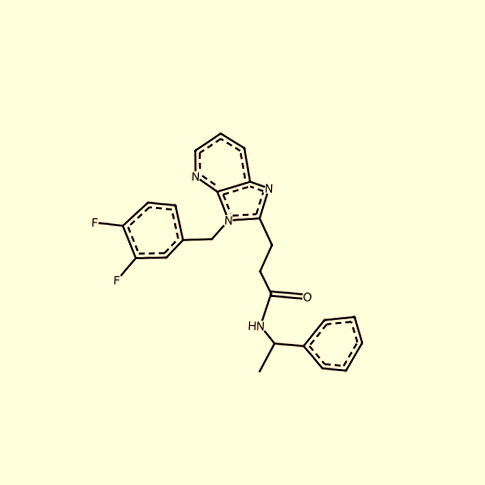 CC(NC(=O)CCc1nc2cccnc2n1Cc1ccc(F)c(F)c1)c1ccccc1